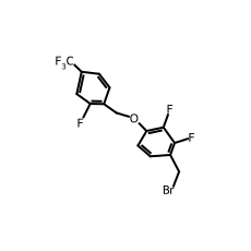 Fc1cc(C(F)(F)F)ccc1COc1ccc(CBr)c(F)c1F